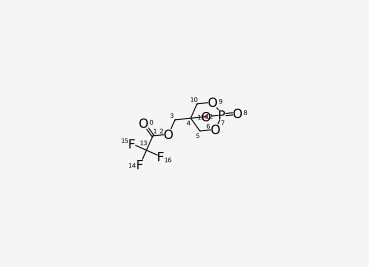 O=C(OCC12COP(=O)(OC1)OC2)C(F)(F)F